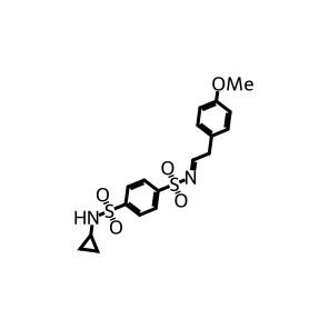 COc1ccc(C/C=N/S(=O)(=O)c2ccc(S(=O)(=O)NC3CC3)cc2)cc1